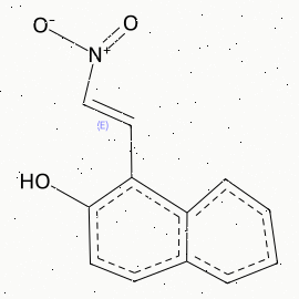 O=[N+]([O-])/C=C/c1c(O)ccc2ccccc12